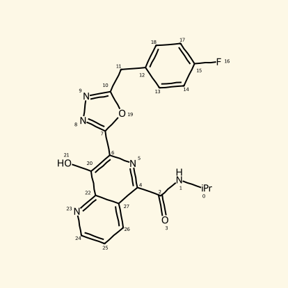 CC(C)NC(=O)c1nc(-c2nnc(Cc3ccc(F)cc3)o2)c(O)c2ncccc12